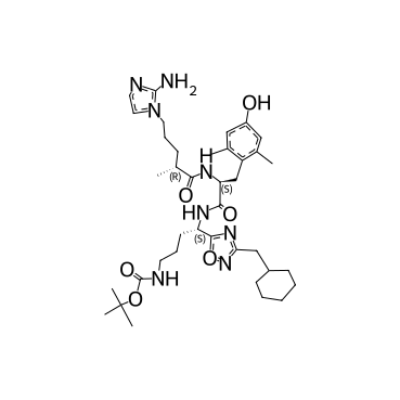 Cc1cc(O)cc(C)c1C[C@H](NC(=O)[C@H](C)CCCn1ccnc1N)C(=O)N[C@@H](CCCNC(=O)OC(C)(C)C)c1nc(CC2CCCCC2)no1